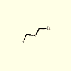 CC[CH]SCCC